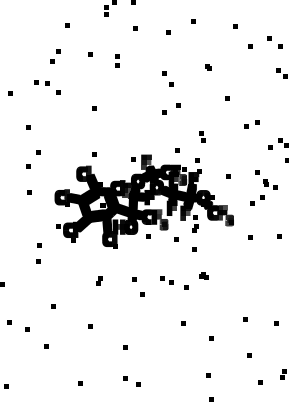 OC(c1c(Cl)c(Cl)c(Cl)c(Cl)c1Cl)(C(F)(F)F)C(F)(F)OC(F)(OC(F)(F)C(F)(F)OC(F)(F)F)C(F)(F)F